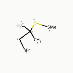 CCCCC(C)(C)SSC